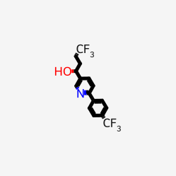 OC(CCC(F)(F)F)c1ccc(-c2ccc(C(F)(F)F)cc2)nc1